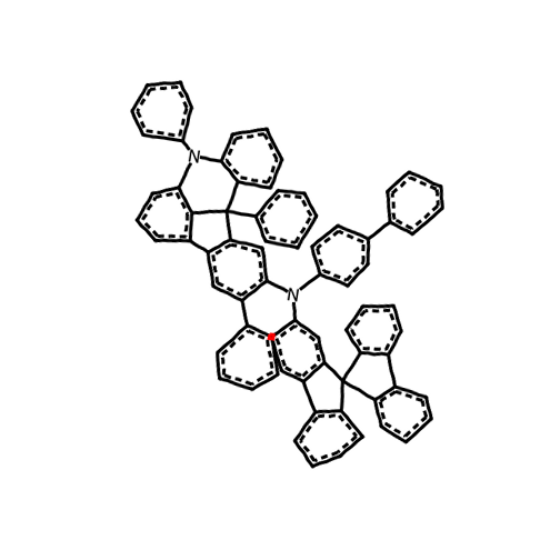 c1ccc(-c2ccc(N(c3ccc4c(c3)C3(c5ccccc5-c5ccccc53)c3ccccc3-4)c3cc4c(cc3-c3ccccc3)-c3cccc5c3C4(c3ccccc3)c3ccccc3N5c3ccccc3)cc2)cc1